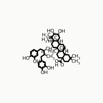 CC1(C)CC[C@]2(C(=O)O)CC[C@]3(C)C(=CC[C@@H]4[C@@]5(C)C[C@@H](O)[C@H](O)C(C)(C)[C@@H]5CC[C@]43C)[C@@H]2C1.C[C@H](Cc1ccc(O)c(O)c1)[C@@H](C)Cc1ccc(O)c(O)c1